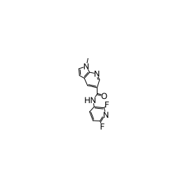 Cn1ccc2cc(C(=O)Nc3ccc(F)nc3F)cnc21